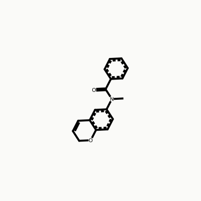 CN(C(=O)c1ccccc1)c1ccc2c(c1)C=CCO2